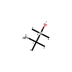 CCCC(C)(C)[Si](C)(C)Br